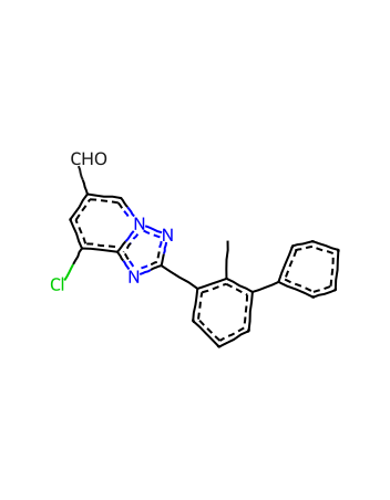 Cc1c(-c2ccccc2)cccc1-c1nc2c(Cl)cc(C=O)cn2n1